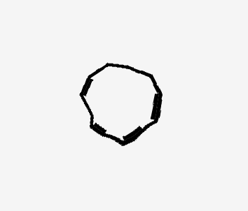 [CH]1\C=C/C=C\C=C/C=C\CC1